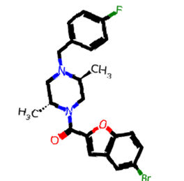 C[C@@H]1CN(Cc2ccc(F)cc2)[C@@H](C)CN1C(=O)c1cc2cc(Br)ccc2o1